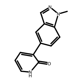 Cn1ncc2cc(-c3ccc[nH]c3=O)ccc21